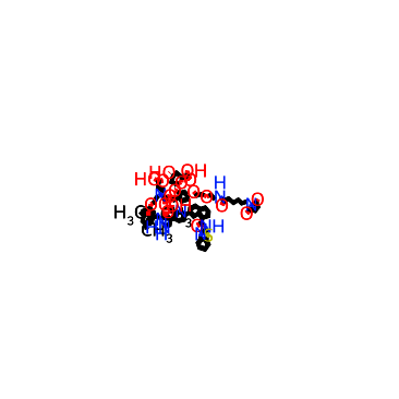 C/C(NCC12CC3(C)CC(C)(C1)CC(OCCN(CCC(=O)O)C(=O)OCc1ccc(OCCOCCNC(=O)CCCCCN4C(=O)C=CC4=O)cc1O[C@@H]1C[C@H](O)C[C@H](C(=O)O)O1)(C3)C2)=C(/C=N)c1ccc(-c2ccc3cccc(C(=O)Nc4nc5ccccc5s4)c3c2)nc1C(=O)O